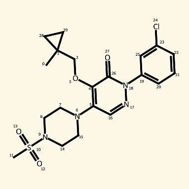 CC1(COc2c(N3CCN(S(C)(=O)=O)CC3)cnn(-c3cccc(Cl)c3)c2=O)CC1